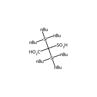 CCCC[Si](CCCC)(CCCC)C(C(=O)O)([Si](CCCC)(CCCC)CCCC)S(=O)(=O)O